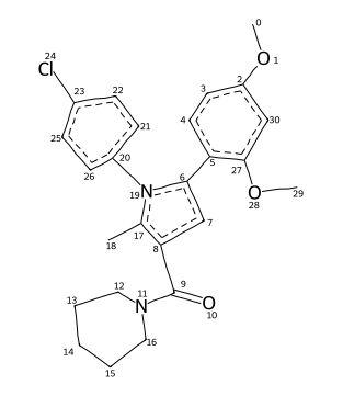 COc1ccc(-c2cc(C(=O)N3CCCCC3)c(C)n2-c2ccc(Cl)cc2)c(OC)c1